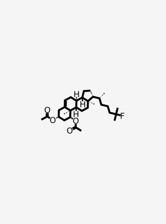 CC(=O)O[C@@H]1CC2=CC[C@H]3[C@@H]4CC[C@H]([C@H](C)CCCC(C)(C)F)[C@@]4(C)CC[C@@H]3[C@@]2(C)[C@@H](OC(C)=O)C1